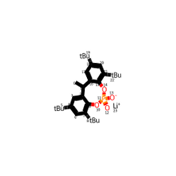 CC1c2cc(C(C)(C)C)cc(C(C)(C)C)c2OP(=O)([O-])Oc2c1cc(C(C)(C)C)cc2C(C)(C)C.[Li+]